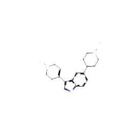 CN1CC=C(c2c[nH]c3ccc(C4CCN(C)CC4)cc23)CC1